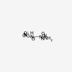 Nc1nc2ccccc2c2c1ncn2CCCCCC(=O)NCc1ccc([N+](=O)[O-])cc1